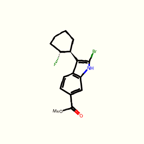 COC(=O)c1ccc2c([C@@H]3CCCC[C@H]3F)c(Br)[nH]c2c1